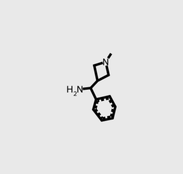 CN1CC(C(N)c2ccccc2)C1